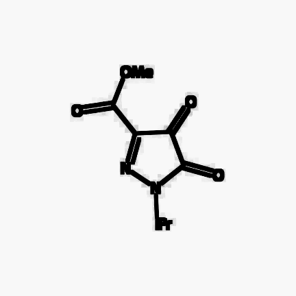 COC(=O)C1=NN(C(C)C)C(=O)C1=O